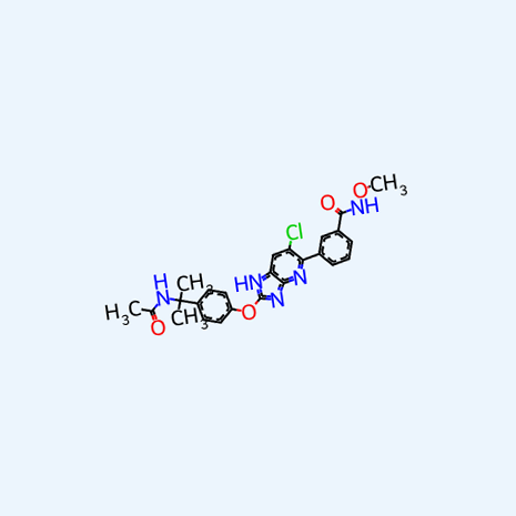 CONC(=O)c1cccc(-c2nc3nc(Oc4ccc(C(C)(C)NC(C)=O)cc4)[nH]c3cc2Cl)c1